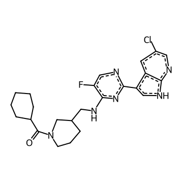 O=C(C1CCCCC1)N1CCCC(CNc2nc(-c3c[nH]c4ncc(Cl)cc34)ncc2F)C1